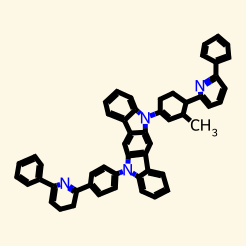 CC1C=C(n2c3ccccc3c3cc4c(cc32)c2ccccc2n4-c2ccc(C3=NC(c4ccccc4)=CCC3)cc2)CCC1c1cccc(-c2ccccc2)n1